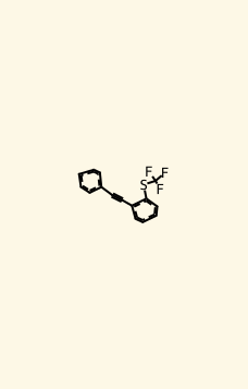 FC(F)(F)Sc1ccccc1C#Cc1ccccc1